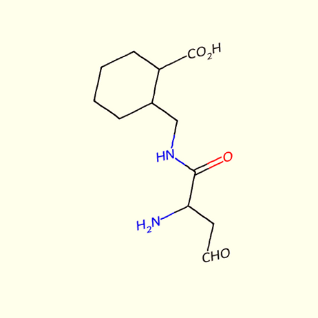 NC(CC=O)C(=O)NCC1CCCCC1C(=O)O